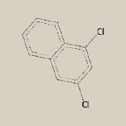 Clc1cc(Cl)c2ccccc2c1